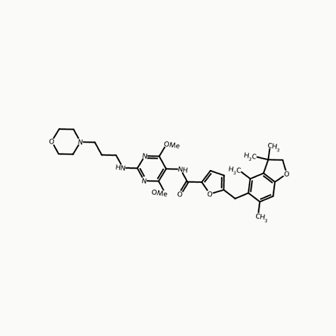 COc1nc(NCCCN2CCOCC2)nc(OC)c1NC(=O)c1ccc(Cc2c(C)cc3c(c2C)C(C)(C)CO3)o1